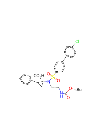 CC(C)(C)OC(=O)NCCN(C1(C(=O)O)CC1c1ccccc1)S(=O)(=O)c1ccc(-c2ccc(Cl)cc2)cc1